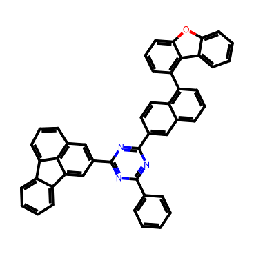 c1ccc(-c2nc(-c3ccc4c(-c5cccc6oc7ccccc7c56)cccc4c3)nc(-c3cc4c5c(cccc5c3)-c3ccccc3-4)n2)cc1